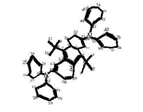 CC(C)(C)c1c2c(c(C(C)(C)C)c3cc(N(c4ccccc4)C4C=CCCC4)ccc13)CCC(N(C1=CCCC=C1)C1=CCCC=C1)=C2